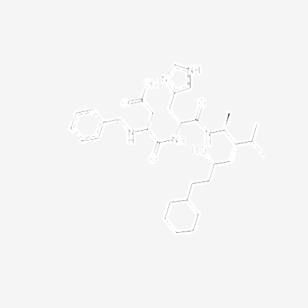 CC(C)[C@H](C[C@@H](O)CCC1CCCCC1)[C@H](C)NC(=O)[C@@H](Cc1c[nH]cn1)NC(=O)C(CC(=O)O)NCc1ccccc1